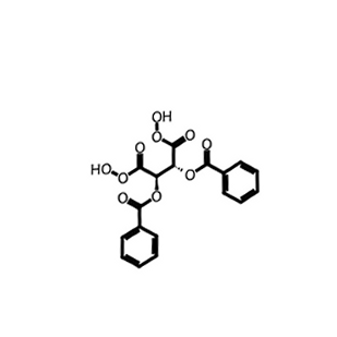 O=C(O[C@@H](C(=O)OO)[C@@H](OC(=O)c1ccccc1)C(=O)OO)c1ccccc1